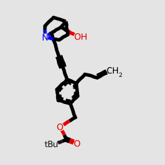 C=CCc1cc(COC(=O)C(C)(C)C)ccc1C#CC1C(O)C2CCN1CC2